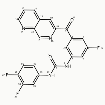 O=C(Nc1cc(F)cc(C(=O)c2cc3cccnc3cn2)c1)Nc1ccc(F)c(F)c1